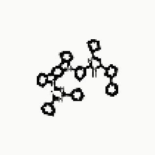 C1=C(c2ccccc2)N=C(c2cccc(-n3c4ccccc4c4cc5c6ccccc6n(-c6nc(-c7ccccc7)nc(-c7ccccc7)n6)c5cc43)c2)NC1c1cccc(-c2ccccc2)c1